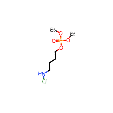 CCOP(=O)(OCC)OCCCCNCl